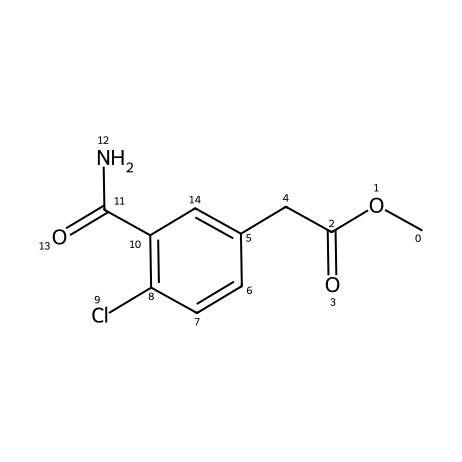 COC(=O)Cc1ccc(Cl)c(C(N)=O)c1